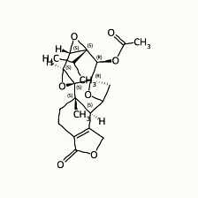 CC(=O)O[C@@H]1[C@@]2(C(C)C)O[C@H]2[C@@H]2O[C@@]23[C@@]2(C)CCC4=C(COC4=O)[C@@H]2C2C[C@@]13O2